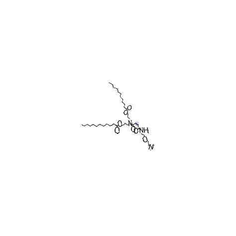 CCCCCCCCCCCC(=O)OCCCN(CCCOC(=O)CCCCCCCCCCC)C(=O)/C=C\C(=O)NCCOCCN(C)C